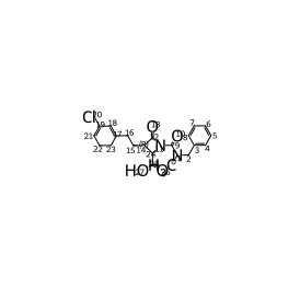 CN(Cc1ccccc1)C(=O)N1C(=O)[C@H](CCC2=CC(Cl)=CCC2)C1C(=O)O